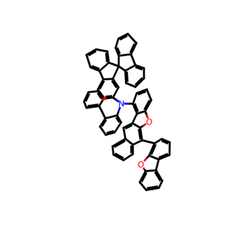 c1ccc(-c2ccccc2N(c2ccc3c(c2)C2(c4ccccc4-c4ccccc42)c2ccccc2-3)c2cccc3oc4c(-c5cccc6c5oc5ccccc56)c5ccccc5cc4c23)cc1